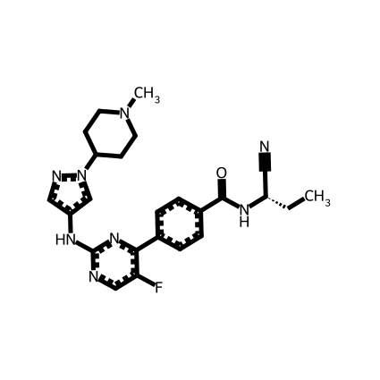 CC[C@@H](C#N)NC(=O)c1ccc(-c2nc(Nc3cnn(C4CCN(C)CC4)c3)ncc2F)cc1